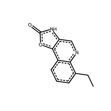 CCc1cccc2c1ncc1[nH]c(=O)oc12